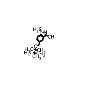 Cc1nn(C)c2ccc(CO[Si](C)(C)C(C)(C)C)cc12